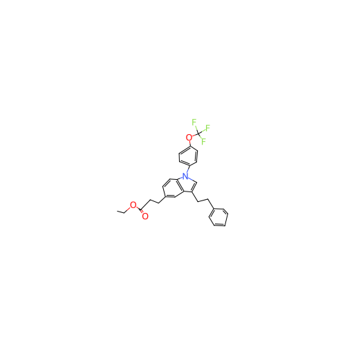 CCOC(=O)CCc1ccc2c(c1)c(CCc1ccccc1)cn2-c1ccc(OC(F)(F)F)cc1